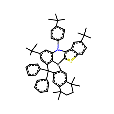 CC(C)(C)c1ccc(N2c3cc(C(C)(C)C)cc4c3B(c3cc5c(cc3C4(c3ccccc3)c3ccccc3)C(C)(C)CCC5(C)C)c3sc4ccc(C(C)(C)C)cc4c32)cc1